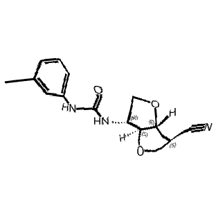 Cc1cccc(NC(=O)N[C@@H]2CO[C@H]3[C@H]2OC[C@@H]3C#N)c1